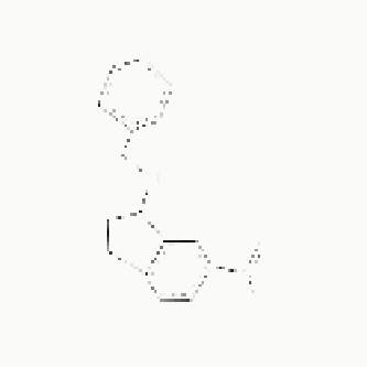 O=[N+]([O-])c1ccc2c(c1)C(NCc1ccccc1)CC2